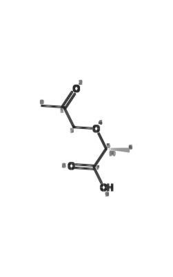 CC(=O)CO[C@H](C)C(=O)O